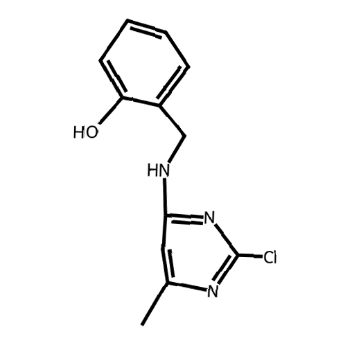 Cc1cc(NCc2ccccc2O)nc(Cl)n1